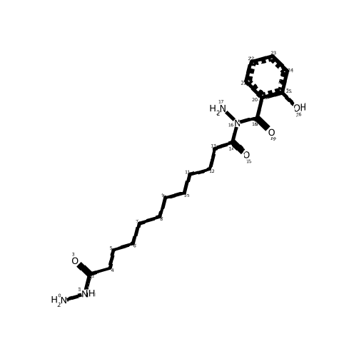 NNC(=O)CCCCCCCCCCC(=O)N(N)C(=O)c1ccccc1O